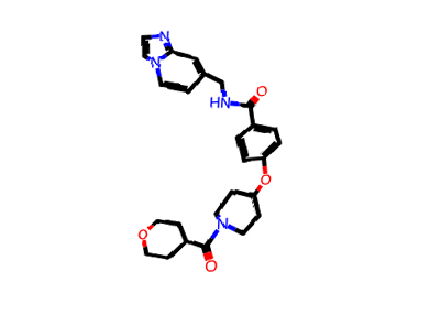 O=C(NCc1ccn2ccnc2c1)c1ccc(OC2CCN(C(=O)C3CCOCC3)CC2)cc1